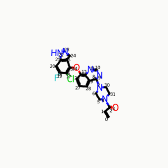 C=CC(=O)N1CCN(c2ncnc3c(Oc4c(Cl)c(F)cc5[nH]ncc45)cccc23)CC1